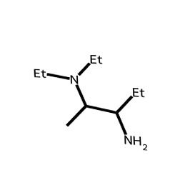 CCC(N)C(C)N(CC)CC